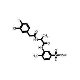 CNS(=O)(=O)c1ccc(C)c(NC(=O)C(C)NC(=O)Cc2ccc(Cl)c(Cl)c2)c1